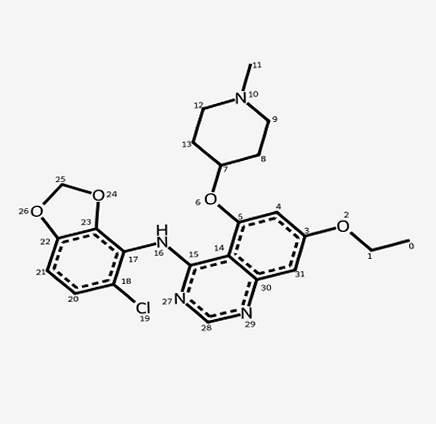 CCOc1cc(OC2CCN(C)CC2)c2c(Nc3c(Cl)ccc4c3OCO4)ncnc2c1